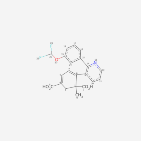 CC1(C(=O)O)CC(C(=O)O)=CC=C1c1cccnc1-c1cccc(OC(F)F)c1